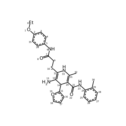 CCOc1ccc(NC(=O)CSC2=C(N)C(c3ccco3)C(C(=O)Nc3ccccc3C)=C(C)N2)cc1